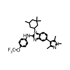 Cc1nn(C)c(C)c1-c1ccc2c(c1)nc(Nc1ccc(OC(F)(F)F)cc1)n2C1CC(C)CC(C)(C)C1